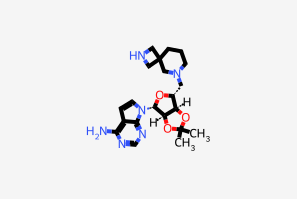 CC1(C)O[C@@H]2[C@H](O1)[C@@H](CN1CCCC3(CNC3)C1)O[C@H]2n1ccc2c(N)ncnc21